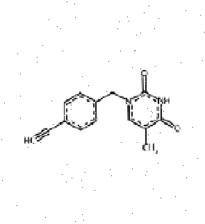 C#Cc1ccc(Cn2cc(C)c(=O)[nH]c2=O)cc1